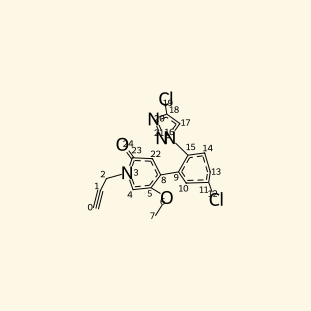 C#CCn1cc(OC)c(-c2cc(Cl)ccc2-n2cc(Cl)nn2)cc1=O